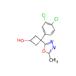 Cc1nnc(C2(c3ccc(Cl)c(Cl)c3)CC(O)C2)o1